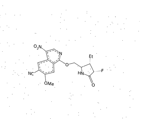 CC[C@H]1C(COc2ncc([N+](=O)[O-])c3cc(C#N)c(OC)cc23)NC(=O)[C@H]1F